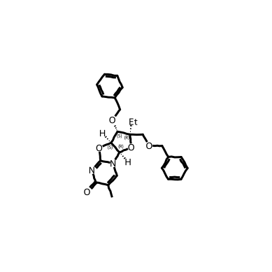 CC[C@]1(COCc2ccccc2)O[C@@H]2[C@@H](Oc3nc(=O)c(C)cn32)[C@@H]1OCc1ccccc1